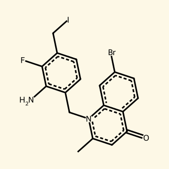 Cc1cc(=O)c2ccc(Br)cc2n1Cc1ccc(CI)c(F)c1N